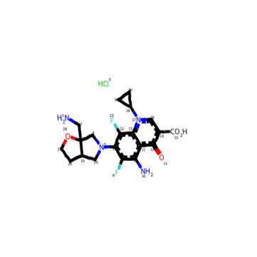 Cl.NCC12CN(c3c(F)c(N)c4c(=O)c(C(=O)O)cn(C5CC5)c4c3F)CC1CCO2